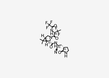 CC(F)(F)[C@H](NC(=O)C(F)(F)F)C(=O)N1C[C@H]2[C@H]([C@H]1C(=O)N[C@H](C#N)C[C@@H]1CCNC1=O)C2(C)C